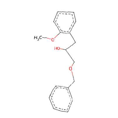 COc1ccccc1CC(O)COCc1ccccc1